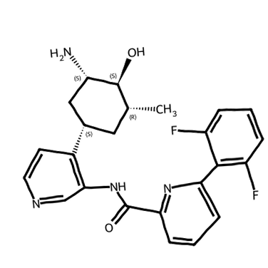 C[C@@H]1C[C@H](c2ccncc2NC(=O)c2cccc(-c3c(F)cccc3F)n2)C[C@H](N)[C@H]1O